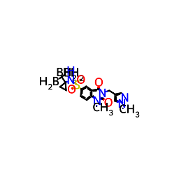 BC(B)(B)C1(NS(=O)(=O)c2ccc3c(c2)c(=O)n(Cc2cnn(C)c2)c(=O)n3C)CC1